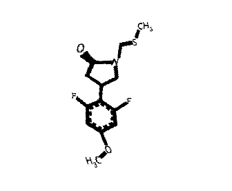 COc1cc(F)c(C2CC(=O)N(CSC)C2)c(F)c1